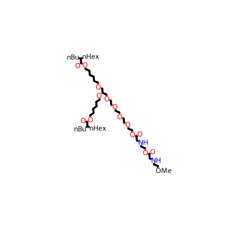 CCCCCCC(CCCC)C(=O)OCCCCCCOCC(COCCOCCOCCOCCOC(=O)CNCCOC(=O)CNCCOC)OCCCCCCOC(=O)C(CCCC)CCCCCC